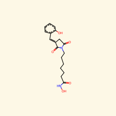 O=C(CCCCCCN1C(=O)CC(=Cc2ccccc2O)C1=O)NO